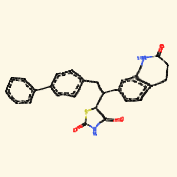 O=C1CCc2ccc(C(Cc3ccc(-c4ccccc4)cc3)C3SC(=O)NC3=O)cc2N1